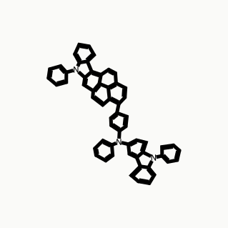 c1ccc(N(c2ccc(-c3ccc4ccc5c6c(ccc3c46)cc3c5c4ccccc4n3-c3ccccc3)cc2)c2ccc3c(c2)c2ccccc2n3-c2ccccc2)cc1